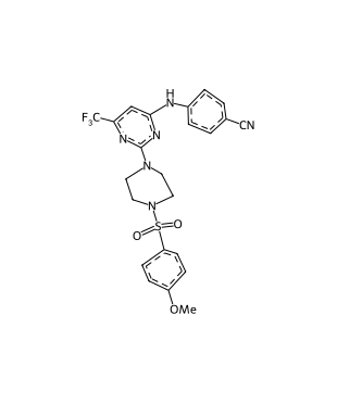 COc1ccc(S(=O)(=O)N2CCN(c3nc(Nc4ccc(C#N)cc4)cc(C(F)(F)F)n3)CC2)cc1